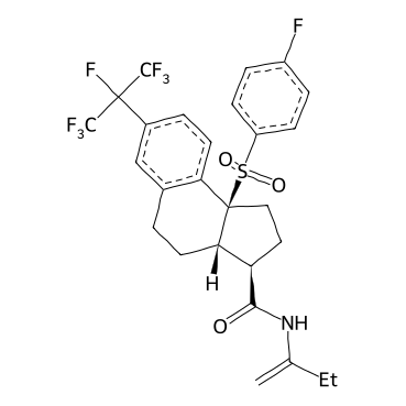 C=C(CC)NC(=O)[C@@H]1CC[C@@]2(S(=O)(=O)c3ccc(F)cc3)c3ccc(C(F)(C(F)(F)F)C(F)(F)F)cc3CC[C@@H]12